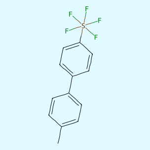 Cc1ccc(-c2ccc(S(F)(F)(F)(F)F)cc2)cc1